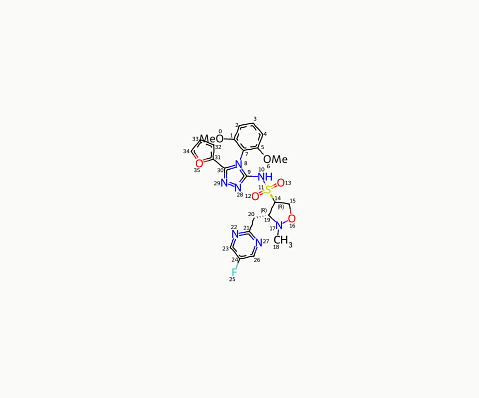 COc1cccc(OC)c1-n1c(NS(=O)(=O)[C@H]2CON(C)[C@@H]2Cc2ncc(F)cn2)nnc1-c1ccco1